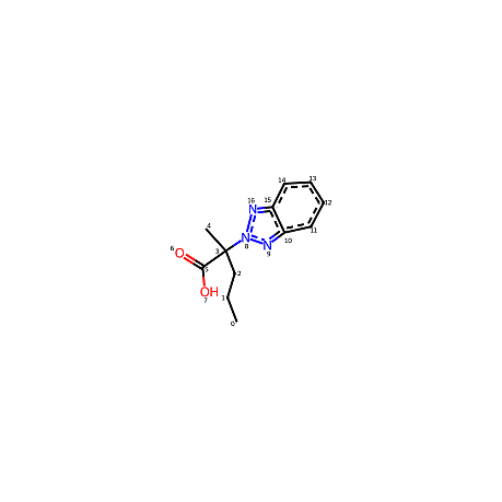 CCCC(C)(C(=O)O)n1nc2ccccc2n1